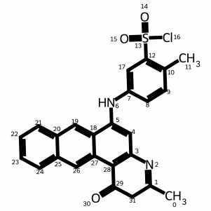 CC1=Nc2cc(Nc3ccc(C)c(S(=O)(=O)Cl)c3)c3cc4ccccc4cc3c2C(=O)C1